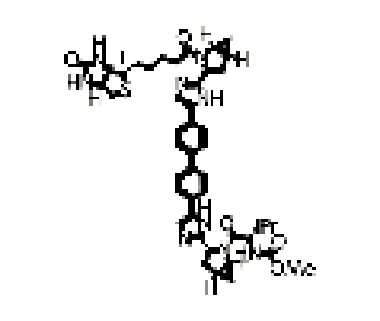 COC(=O)N[C@H](C(=O)N1[C@@H]2C[C@@H]2C[C@H]1c1ncc(-c2ccc(-c3ccc(-c4cnc(C5C[C@H]6C[C@H]6N5C(=O)CCCC[C@@H]5SC[C@@H]6NC(=O)N[C@@H]65)[nH]4)cc3)cc2)[nH]1)C(C)C